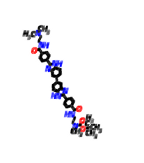 CN(C)CCNC(=O)c1ccc(-c2nc3cc(-c4ccc5[nH]c(-c6ccc(C(=O)NCCN(C)C(=O)OC(C)(C)C)cc6)nc5c4)ccc3[nH]2)cc1